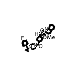 COc1cc(C(=O)N2CCN(C3(c4ccc(F)cc4)CC3)CC2)ccc1NS(=O)(=O)c1ccc2ccccc2n1